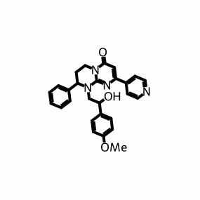 COc1ccc(C(O)CN2c3nc(-c4ccncc4)cc(=O)n3CCC2c2ccccc2)cc1